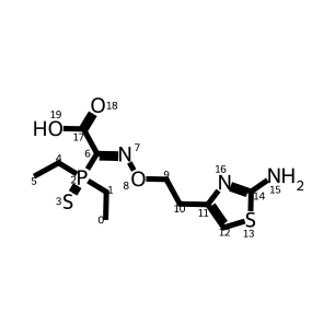 CCP(=S)(CC)C(=NOCCc1csc(N)n1)C(=O)O